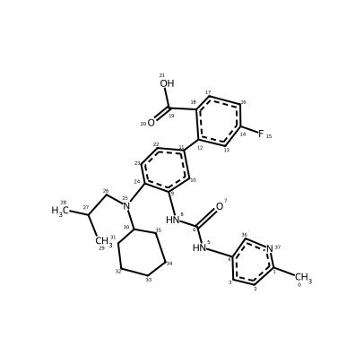 Cc1ccc(NC(=O)Nc2cc(-c3cc(F)ccc3C(=O)O)ccc2N(CC(C)C)C2CCCCC2)cn1